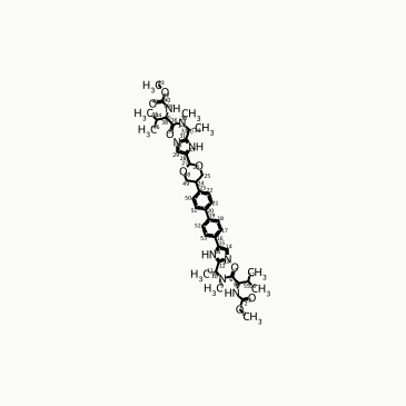 COC(=O)N[C@@H](C(=O)N(C)[C@H](C)c1ncc(-c2ccc(-c3ccc(C4COC(c5cnc([C@@H](C)N(C)C(=O)[C@H](NC(=O)OC)C(C)C)[nH]5)OC4)cc3)cc2)[nH]1)C(C)C